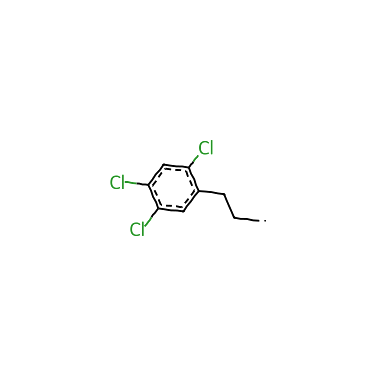 [CH2]CCc1cc(Cl)c(Cl)cc1Cl